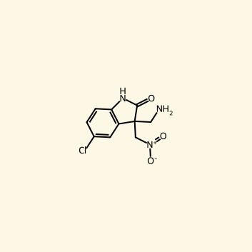 NCC1(C[N+](=O)[O-])C(=O)Nc2ccc(Cl)cc21